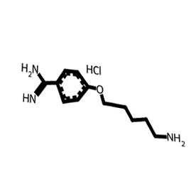 Cl.N=C(N)c1ccc(OCCCCCN)cc1